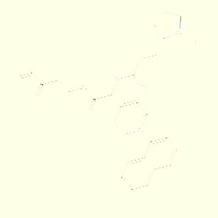 C=CC(=O)CCNC(=O)c1nc(OC[C@@H]2CCCN2C)nc2c1CCN(c1cccc3ccccc13)C2